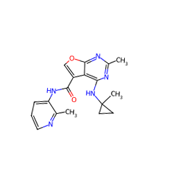 Cc1nc(NC2(C)CC2)c2c(C(=O)Nc3cccnc3C)coc2n1